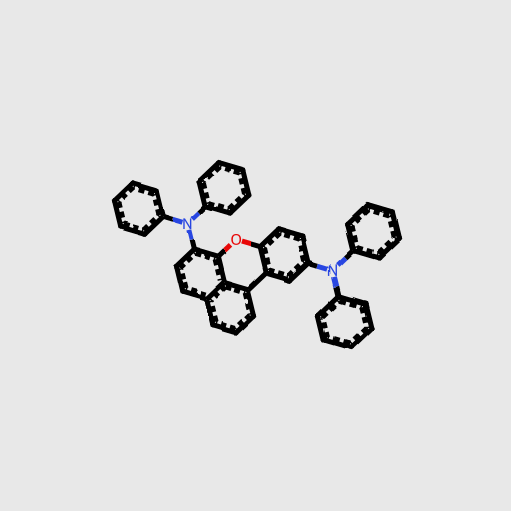 c1ccc(N(c2ccccc2)c2ccc3c(c2)-c2cccc4ccc(N(c5ccccc5)c5ccccc5)c(c24)O3)cc1